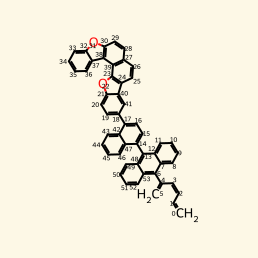 C=C/C=C\C(=C)c1c2ccccc2c(-c2ccc(-c3ccc4oc5c(ccc6ccc7oc8ccccc8c7c65)c4c3)c3ccccc23)c2ccccc12